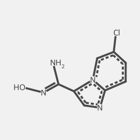 N/C(=N\O)c1cnc2ccc(Cl)cn12